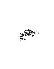 CC(C)(C(N)=O)n1cc(C2=NC=C3C(NC(C(N)=O)C4CC4)=COCC4=C3N2CC4)cn1